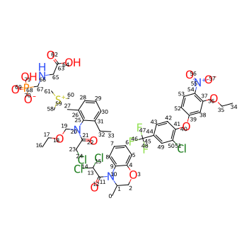 CC1COc2ccccc2N1C(=O)C(Cl)Cl.CCOCN(C(=O)CCl)c1c(C)cccc1CC.CCOc1cc(Oc2ccc(C(F)(F)F)cc2Cl)ccc1[N+](=O)[O-].C[S+](C)C.O=C(O)CNCP(=O)([O-])O